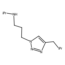 CC(C)Cc1cn(CCCNC(C)C)nn1